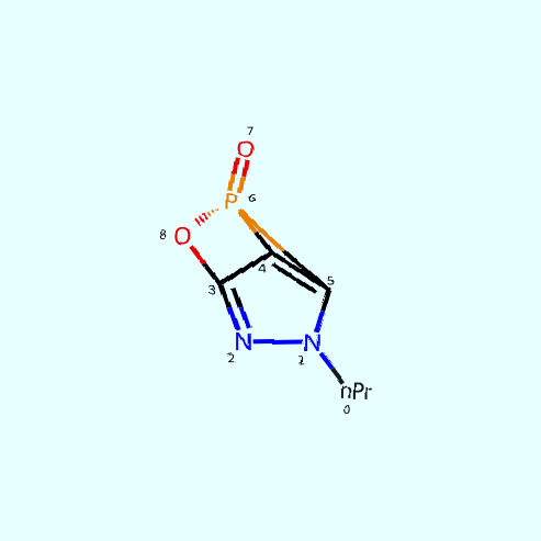 CCCn1nc2c3c1[P@@]3(=O)O2